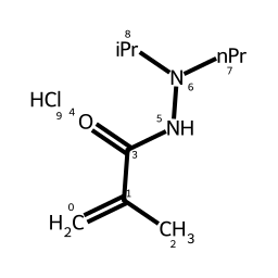 C=C(C)C(=O)NN(CCC)C(C)C.Cl